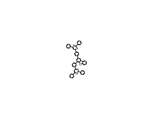 c1ccc(-c2cc(-c3ccc(-c4cc(-c5cccc(-c6cc(-c7ccccc7)nc(-c7ccccc7)n6)c5)c5oc6ccccc6c5c4)cc3)nc(-c3ccccc3)n2)cc1